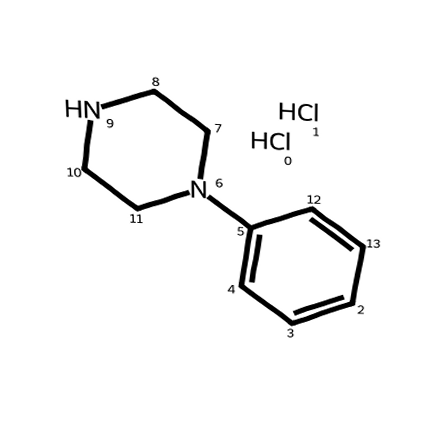 Cl.Cl.c1ccc(N2CCNCC2)cc1